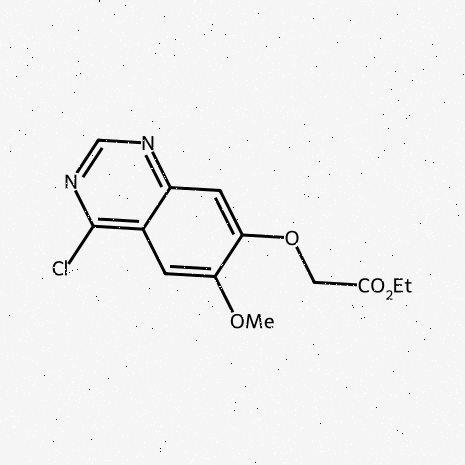 CCOC(=O)COc1cc2ncnc(Cl)c2cc1OC